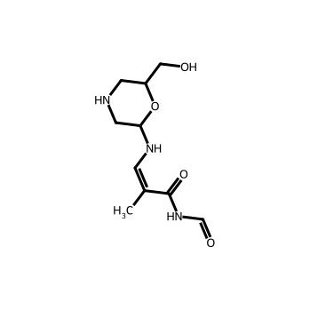 C/C(=C/NC1CNCC(CO)O1)C(=O)NC=O